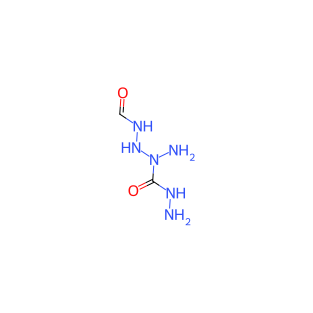 NNC(=O)N(N)NNC=O